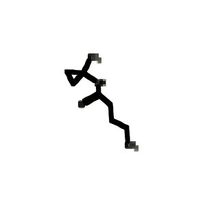 CCCCC(=O)NC1(C)CC1